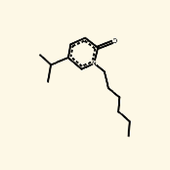 CCCCCCn1cc(C(C)C)ccc1=O